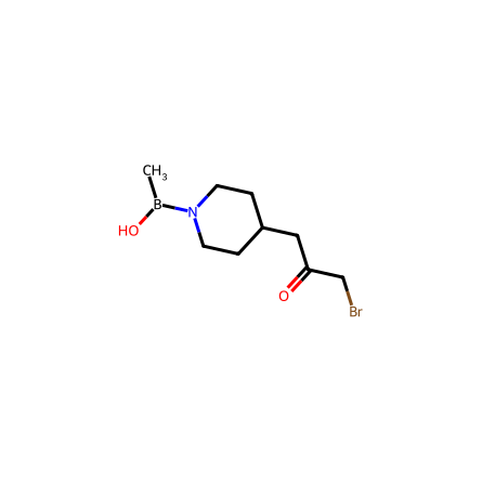 CB(O)N1CCC(CC(=O)CBr)CC1